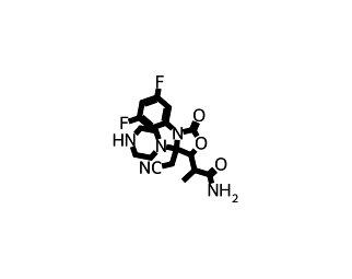 CC(C(N)=O)C1OC(=O)N(c2cc(F)cc(F)c2)C1(CC#N)N1CCNCC1